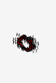 CC(C)C[C@@H]1NC(=O)[C@H](Cc2ccccc2)N(C)C(=O)[C@H](Cc2ccccc2)N(C)C(=O)[C@H](CC(C)C)NC(=O)[C@H](CC(C)C)N(C)C(=O)CCCN(C)C(=O)C[C@@H](C(=O)N2CCCCC2)NC(=O)[C@H](C)N(C)C(=O)[C@H](CCN2CCCC(F)(F)C2)N(C)C(=O)[C@H]([C@@H](C)O)NC(=O)[C@H](CC(C)C)N(C)C1=O